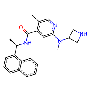 Cc1cnc(N(C)C2CNC2)cc1C(=O)N[C@H](C)c1cccc2ccccc12